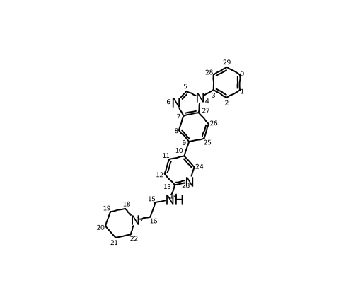 c1ccc(-n2cnc3cc(-c4ccc(NCCN5CCCCC5)nc4)ccc32)cc1